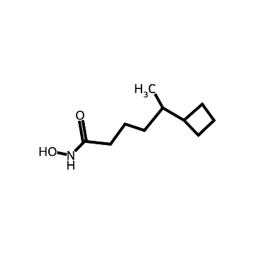 CC(CCCC(=O)NO)C1CCC1